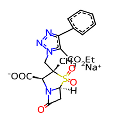 CCOC(=O)c1c(-c2ccccc2)nnn1C[C@@]1(C)[C@H](C(=O)[O-])N2C(=O)C[C@@H]2S1(=O)=O.[Na+]